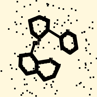 Oc1cccc2cccnc12.c1ccc(-c2ccccn2)nc1